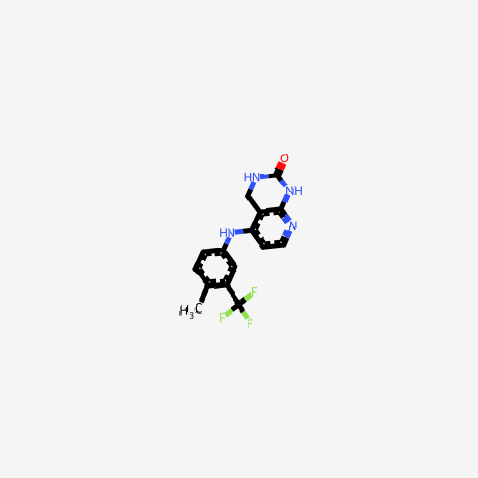 Cc1ccc(Nc2ccnc3c2CNC(=O)N3)cc1C(F)(F)F